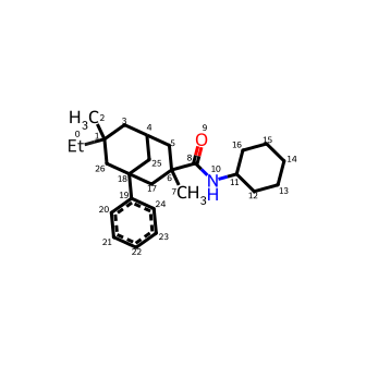 CCC1(C)CC2CC(C)(C(=O)NC3CCCCC3)CC(c3ccccc3)(C2)C1